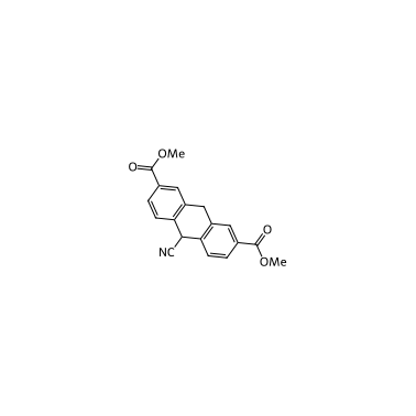 COC(=O)c1ccc2c(c1)Cc1cc(C(=O)OC)ccc1C2C#N